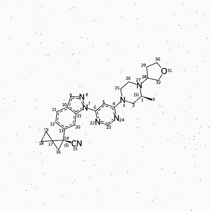 C[C@H]1CN(c2cc(-n3ncc4ccc([C@]5(C#N)CC56CC6)cc43)ncn2)CCN1C1CCOC1